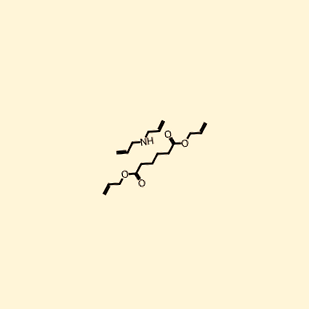 C=CCNCC=C.C=CCOC(=O)CCCCC(=O)OCC=C